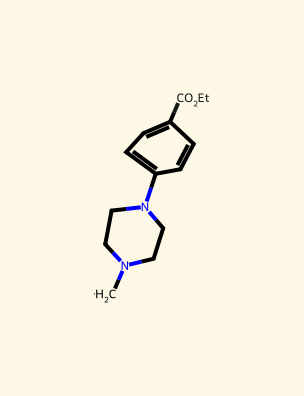 [CH2]N1CCN(c2ccc(C(=O)OCC)cc2)CC1